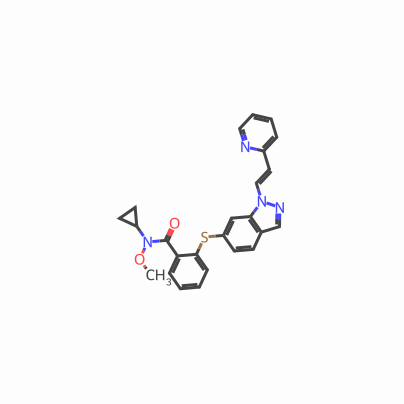 CON(C(=O)c1ccccc1Sc1ccc2cnn(C=Cc3ccccn3)c2c1)C1CC1